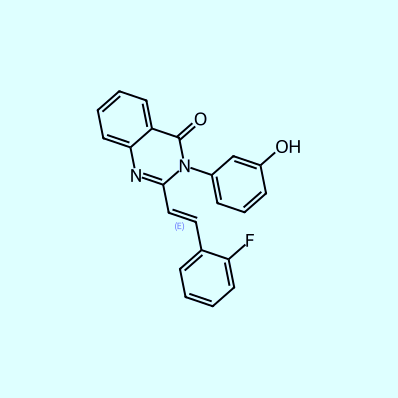 O=c1c2ccccc2nc(/C=C/c2ccccc2F)n1-c1cccc(O)c1